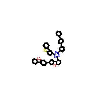 C1=CC2Oc3cc(-c4ccc5c(c4)oc4ccccc45)ccc3C2C(c2nc(-c3cccc(-c4ccc(-c5ccccc5)cc4)c3)nc(-c3ccc4sc5ccccc5c4c3)n2)=C1